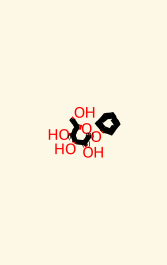 OCC1O[C@H](Oc2ccccc2)[C@@H](O)C(O)[C@H]1O